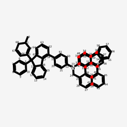 CC1C=C(C2(c3ccccc3)c3ccccc3-c3c(-c4ccc(N(Cc5ccccc5-c5cccc6cccc(-c7ccccc7)c56)c5ccc6c(c5)oc5ccccc56)cc4)cccc32)C=CC1